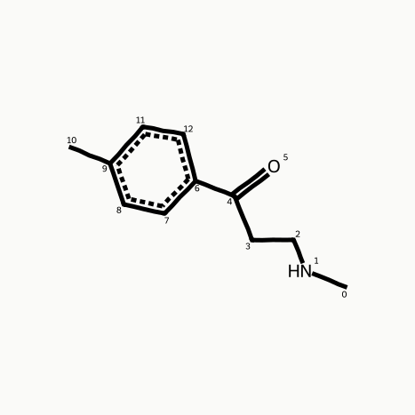 CNCCC(=O)c1ccc(C)cc1